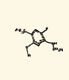 Cc1cc(F)c(NC(=O)O)cc1OC(C)C